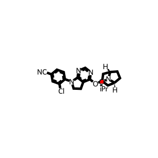 CC(C)ON1[C@H]2CC[C@H]1CC(Oc1ncnc3c1CCN3c1ccc(C#N)cc1Cl)C2